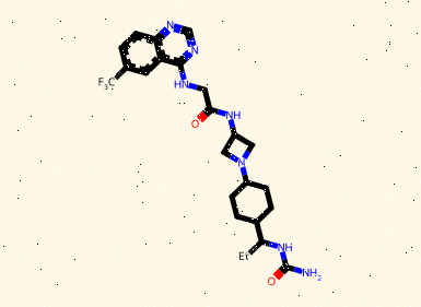 CCC(NC(N)=O)C1CCC(N2CC(NC(=O)CNc3ncnc4ccc(C(F)(F)F)cc34)C2)CC1